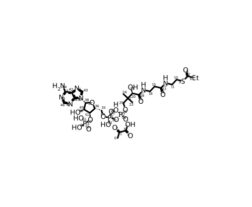 CC(=O)C(=O)O.CCC(=O)SCCNC(=O)CCNC(=O)[C@H](O)C(C)(C)COP(=O)(O)OP(=O)(O)OC[C@H]1O[C@@H](n2cnc3c(N)ncnc32)[C@H](O)[C@@H]1OP(=O)(O)O